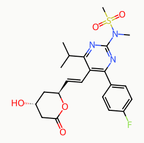 CC(C)c1nc(N(C)S(C)(=O)=O)nc(-c2ccc(F)cc2)c1/C=C/[C@@H]1C[C@@H](O)CC(=O)O1